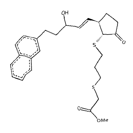 COC(=O)CSCCCS[C@H]1C(=O)CC[C@@H]1C=CC(O)CCc1ccc2ccccc2c1